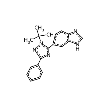 CC(C)(C)n1nc(-c2ccccc2)nc1-c1ccc2nc[nH]c2c1